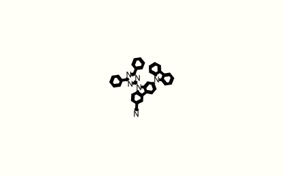 N#Cc1ccc2c(c1)c1ccc(-n3c4ccccc4c4ccccc43)cc1n2-c1nc(-c2ccccc2)nc(-c2ccccc2)n1